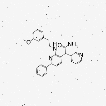 COc1cccc(CCNc2nc(-c3ccccc3)ccc2C(C(N)=O)c2cccnc2)c1